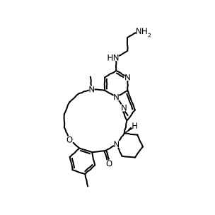 Cc1ccc2c(c1)C(=O)N1CCCC[C@H]1c1cc3nc(NCCN)cc(n3n1)N(C)CCCCO2